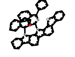 c1ccc(-c2nc(-n3c4c(ccc5c6ccccc6oc54)c4ccc5c6ccccc6n(-c6cccc7ccccc67)c5c43)nc3ccccc23)cc1